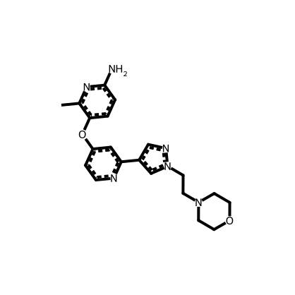 Cc1nc(N)ccc1Oc1ccnc(-c2cnn(CCN3CCOCC3)c2)c1